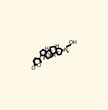 CN(CCO)[C@H]1CC[C@@]2(C)[C@H](CC[C@@H]3[C@@H]2CC[C@]2(C)[C@@H](c4ccc(=O)oc4)CC[C@]32O)C1